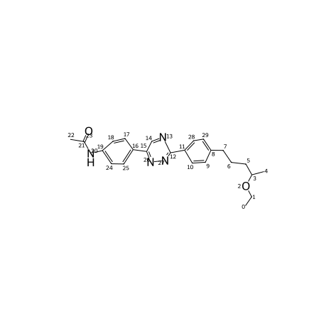 CCOC(C)CCCc1ccc(-c2ncc(-c3ccc(NC(C)=O)cc3)nn2)cc1